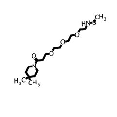 CSNCCOCCOCCOCCC(=O)N1CCC(C)(C)CC1